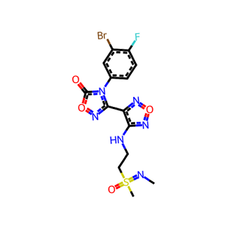 CN=S(C)(=O)CCNc1nonc1-c1noc(=O)n1-c1ccc(F)c(Br)c1